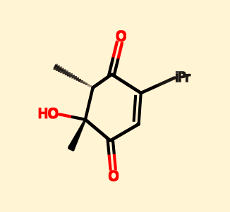 CC(C)C1=CC(=O)[C@](C)(O)[C@H](C)C1=O